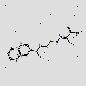 C/C(=N\OCCOC(C)c1ccc2ccccc2c1)C(=O)O